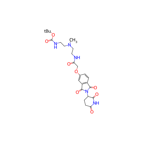 CN(CCNC(=O)COc1ccc2c(c1)C(=O)N(C1CCC(=O)NC1=O)C2=O)CCNC(=O)OC(C)(C)C